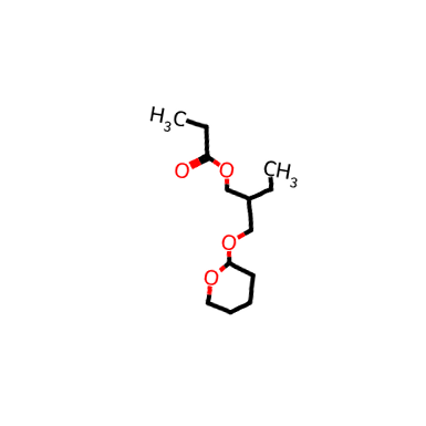 CCC(=O)OCC(CC)COC1CCCCO1